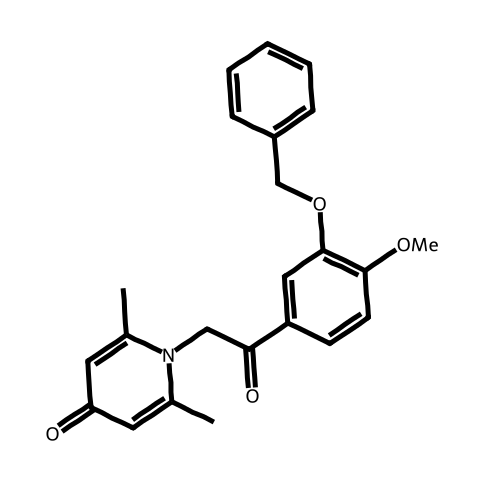 COc1ccc(C(=O)Cn2c(C)cc(=O)cc2C)cc1OCc1ccccc1